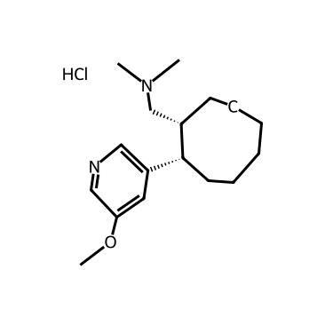 COc1cncc([C@H]2CCCCCC[C@H]2CN(C)C)c1.Cl